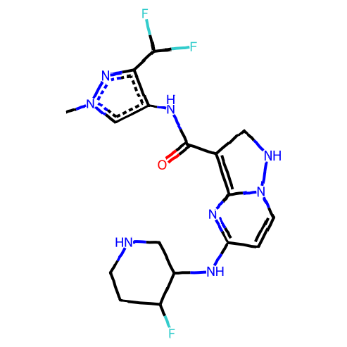 Cn1cc(NC(=O)C2=C3N=C(NC4CNCCC4F)C=CN3NC2)c(C(F)F)n1